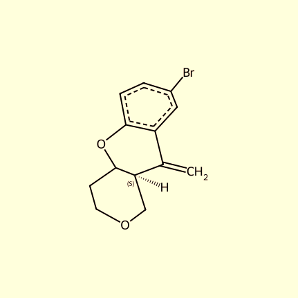 C=C1c2cc(Br)ccc2OC2CCOC[C@H]12